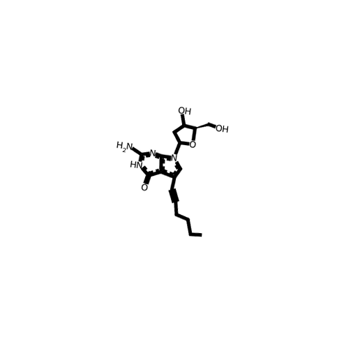 CCCCC#Cc1cn(C2CC(O)[C@@H](CO)O2)c2nc(N)[nH]c(=O)c12